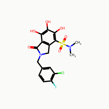 CN(C)S(=O)(=O)c1c(O)c(O)c(O)c2c1CN(Cc1ccc(F)c(Cl)c1)C2=O